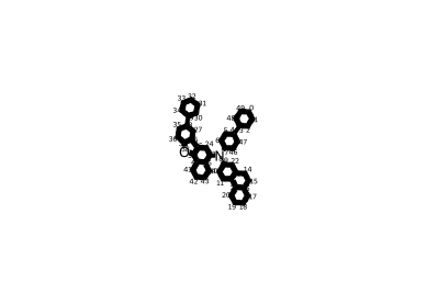 c1ccc(-c2ccc(N(c3ccc4c(ccc5ccccc54)c3)c3cc4c5cc(-c6ccccc6)ccc5oc4c4ccccc34)cc2)cc1